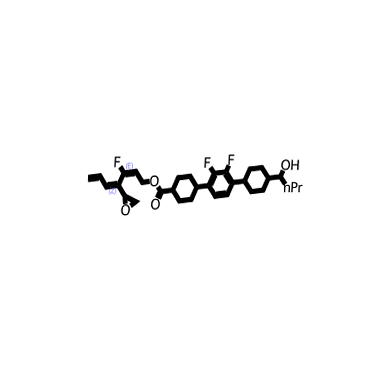 C=C/C=C(\C(F)=C/COC(=O)C1CCC(c2ccc(C3CCC(C(O)CCC)CC3)c(F)c2F)CC1)C1CO1